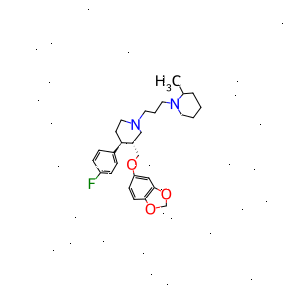 CC1CCCCN1CCCN1CC[C@H](c2ccc(F)cc2)[C@@H](COc2ccc3c(c2)OCO3)C1